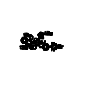 CC(C)(C)OC(=O)C(NC(O)[C@H](Cc1ccc(-c2ncc(Br)cn2)cc1)NC(=O)c1ccc(C(C)(C)C)s1)C(OC(C)(C)C)c1ccccc1